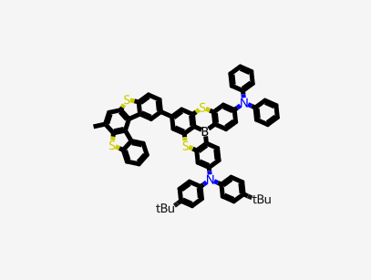 Cc1cc2sc3ccc(-c4cc5c6c(c4)Sc4cc(N(c7ccc(C(C)(C)C)cc7)c7ccc(C(C)(C)C)cc7)ccc4B6c4ccc(N(c6ccccc6)c6ccccc6)cc4S5)cc3c2c2c1sc1ccccc12